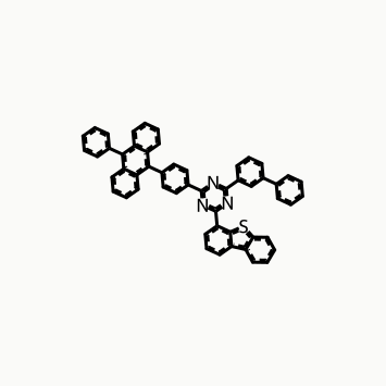 c1ccc(-c2cccc(-c3nc(-c4ccc(-c5c6ccccc6c(-c6ccccc6)c6ccccc56)cc4)nc(-c4cccc5c4sc4ccccc45)n3)c2)cc1